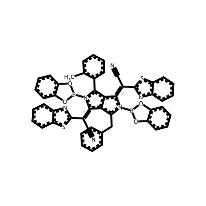 Cc1ccccc1-c1c2/c(=C(\C#N)c3nc4ccccc4s3)n(B3Oc4ccccc4O3)c(Cc3ccccc3)c2/c(=C(\C#N)c2nc3ccccc3s2)n1B1Oc2ccccc2O1